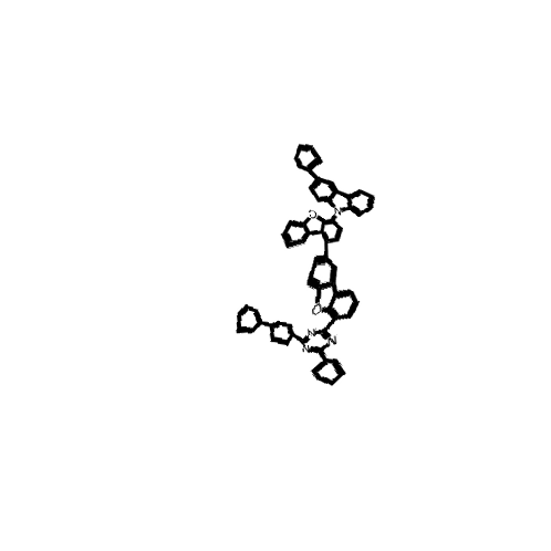 c1ccc(-c2ccc(-c3nc(-c4ccccc4)nc(-c4cccc5c4oc4ccc(-c6ccc(-n7c8ccccc8c8cc(-c9ccccc9)ccc87)c7oc8ccccc8c67)cc45)n3)cc2)cc1